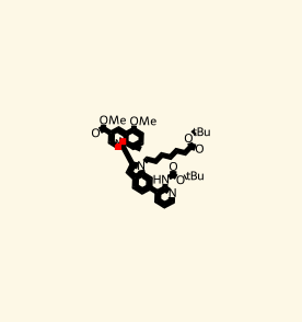 COC(=O)C1=CC2=NC(c3cc4ccc(-c5cccnc5NC(=O)OC(C)(C)C)cc4n3CCCCCCC(=O)OC(C)(C)C)N(C)C23C=CC=C(OC)C3=C1